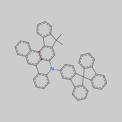 CC1(C)c2ccccc2-c2ccc(N(c3ccc4c(c3)-c3ccccc3C43c4ccccc4-c4ccccc43)c3ccccc3-c3ccc4ccccc4c3)cc21